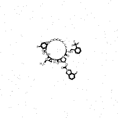 C=C[C@@H]1C[C@@]12NC(=O)[C@@H]1C[C@@H](OC(=O)N3Cc4cccc(F)c4C3)CN1C(=O)[C@@H](NCc1ccccc1C(F)(F)F)CCCCCCCNc1ccc(F)cc1S(=O)(=O)NC2=O